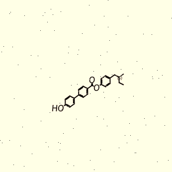 CC[C@H](C)Cc1ccc(OC(=O)c2ccc(-c3ccc(O)cc3)cc2)cc1